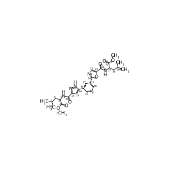 COC(=O)C(CC(C)C)NC(=O)c1cc(-c2cccc(-c3ncc(C(=O)NC(CC(C)C)C(=O)OC)o3)c2)[nH]n1